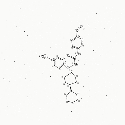 O=C(Nc1ccc(OC(F)(F)F)cc1)NC(c1ccc(C(=O)O)cc1)[C@H]1CC[C@H](C2CCCCC2)CC1